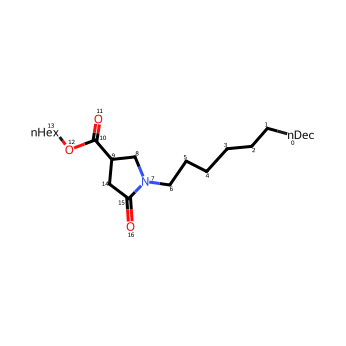 CCCCCCCCCCCCCCCCN1CC(C(=O)OCCCCCC)CC1=O